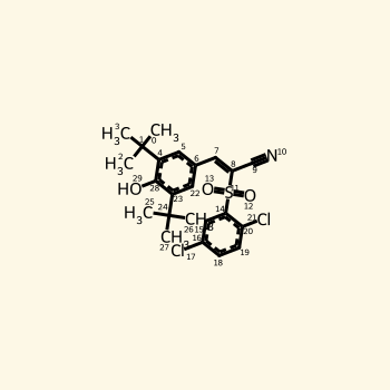 CC(C)(C)c1cc(/C=C(/C#N)S(=O)(=O)c2cc(Cl)ccc2Cl)cc(C(C)(C)C)c1O